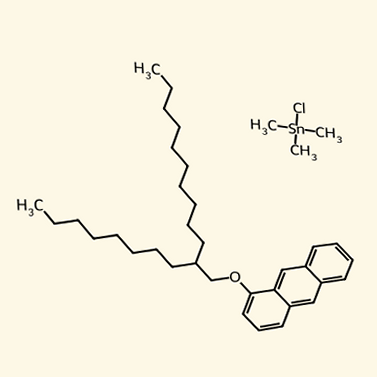 CCCCCCCCCCC(CCCCCCCC)COc1cccc2cc3ccccc3cc12.[CH3][Sn]([CH3])([CH3])[Cl]